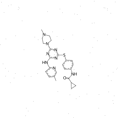 Cc1ccc(Nc2nc(Sc3ccc(NC(=O)C4CC4)cc3)nc(N3CCN(C)CC3)n2)nc1